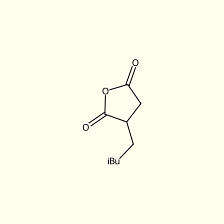 CCC(C)CC1CC(=O)OC1=O